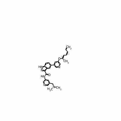 C=C/C=C\C=C(/C)Oc1cncc(-c2ccc3[nH]nc(C(=O)Nc4cncc(CN(C)C)c4)c3c2)c1